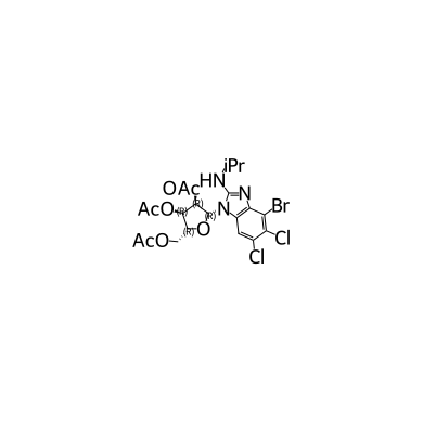 CC(=O)OC[C@H]1O[C@@H](n2c(NC(C)C)nc3c(Br)c(Cl)c(Cl)cc32)[C@H](OC(C)=O)[C@@H]1OC(C)=O